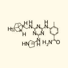 Cc1ccc(C(N)=O)cc1Nc1nc(NC[C@@H]2CC[C@H]3C[C@H]2C3(C)C)nc(N[C@H]2CCNC2)n1